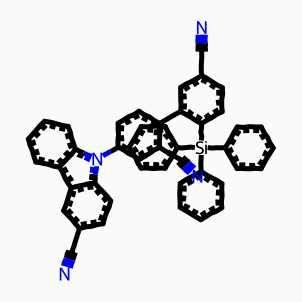 N#Cc1ccc([Si](c2ccccc2)(c2ccccc2)c2ccccc2)c(-c2ccc(-n3c4ccccc4c4cc(C#N)ccc43)cc2C#N)c1